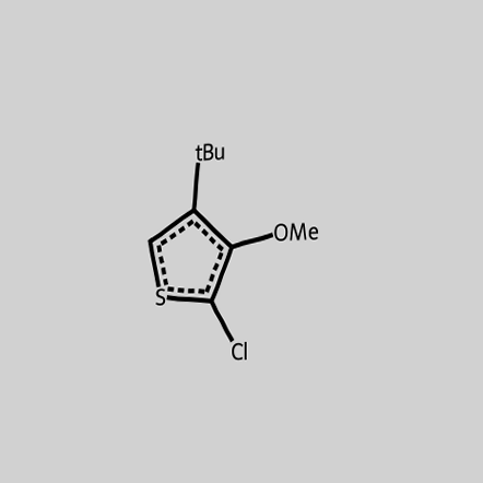 COc1c(C(C)(C)C)csc1Cl